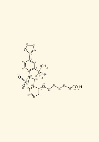 [2H]C(C)(C)c1cc(-c2ccco2)ccc1N(Cc1ccccc1OCCCCCC(=O)O)[SH](=O)=O